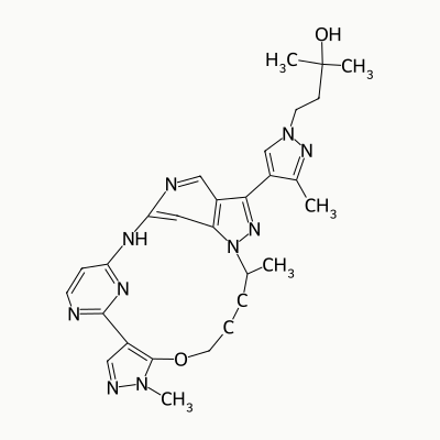 Cc1nn(CCC(C)(C)O)cc1-c1nn2c3cc(ncc13)Nc1ccnc(n1)-c1cnn(C)c1OCCCC2C